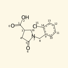 O=C(O)C1CC(=O)N(Cc2ccccc2Cl)C1